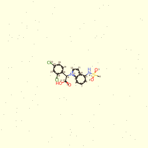 CS(=O)(=O)Nc1cccc2c1ccn2C(C(=O)O)c1ccc(Cl)cc1Cl